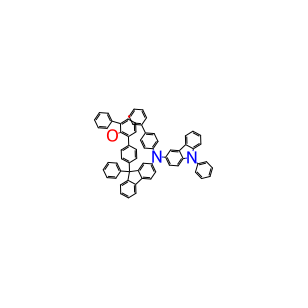 c1ccc(-c2ccc(N(c3ccc4c(c3)C(c3ccccc3)(c3ccc(-c5cccc6c5oc5ccccc56)cc3)c3ccccc3-4)c3ccc4c(c3)c3ccccc3n4-c3ccccc3)cc2)cc1